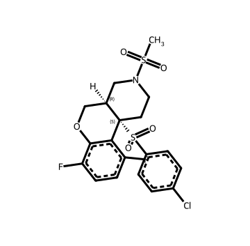 CS(=O)(=O)N1CC[C@@]2(S(=O)(=O)c3ccc(Cl)cc3)c3c(F)ccc(F)c3OC[C@H]2C1